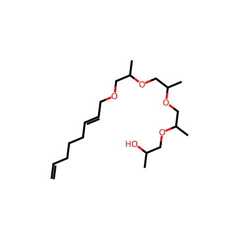 C=CCCCC=CCOCC(C)OCC(C)OCC(C)OCC(C)O